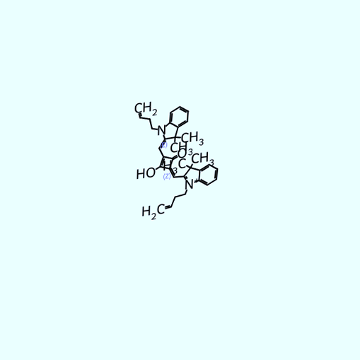 C=CCCN1/C(=C/C2=C(O)C(=C/C3=[N+](CCC=C)c4ccccc4C3(C)C)/C2=O)C(C)(C)c2ccccc21